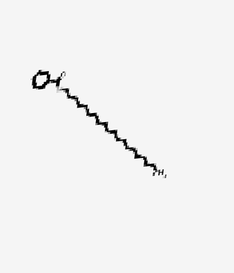 CCCCCCCCCCCCCCCCCCCCNC(=O)c1ccccc1